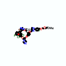 COCCOCCOCC1(F)CCC(c2nccc(COc3ccc4cc3C[C@H](C(=O)O)Oc3ncnc5sc(-c6ccc(F)cc6)c(c35)-c3c(C)c(Cl)c(c(Cl)c3C)O[C@H](CN3CCN(C)CC3)CO4)n2)CC1